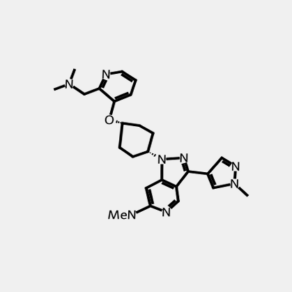 CNc1cc2c(cn1)c(-c1cnn(C)c1)nn2[C@H]1CC[C@@H](Oc2cccnc2CN(C)C)CC1